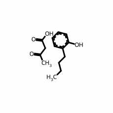 CC(=O)CC(=O)O.CCCCc1ccccc1O